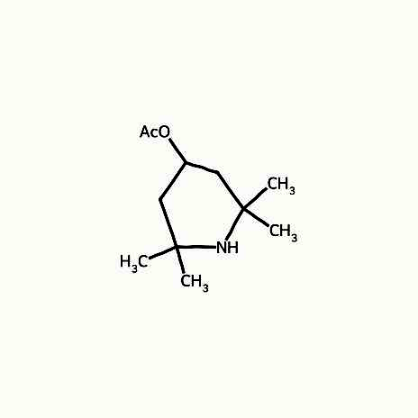 [CH2]C(=O)OC1CC(C)(C)NC(C)(C)C1